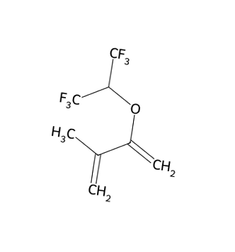 C=C(C)C(=C)OC(C(F)(F)F)C(F)(F)F